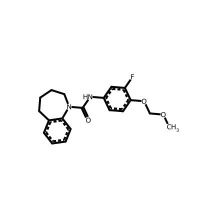 COCOc1ccc(NC(=O)N2CCCCc3ccccc32)cc1F